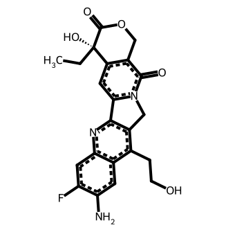 CC[C@@]1(O)C(=O)OCc2c1cc1n(c2=O)Cc2c-1nc1cc(F)c(N)cc1c2CCO